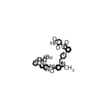 Cc1nn(CC2CCN(c3cccc4c3CN(C3CCC(=O)NC3=O)C4=O)CC2)c2cc(C(=O)Nc3cc4c(cn3)cc([C@H]3CCCN3C)n4C(=O)OC(C)(C)C)ccc12